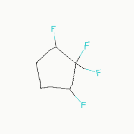 FC1CCC(F)C1(F)F